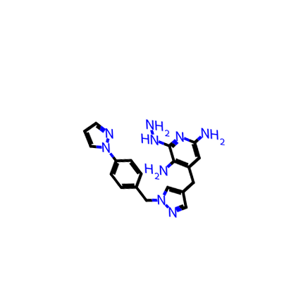 NNc1nc(N)cc(Cc2cnn(Cc3ccc(-n4cccn4)cc3)c2)c1N